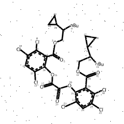 CCCCC(COC(=O)c1c(Cl)c(Cl)cc(Cl)c1OC(=O)C(=O)Oc1c(Cl)cc(Cl)c(Cl)c1C(=O)OCC(CCCC)C1CC1)C1CC1